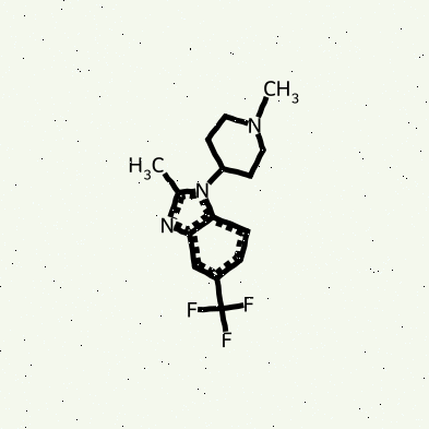 Cc1nc2cc(C(F)(F)F)ccc2n1C1CCN(C)CC1